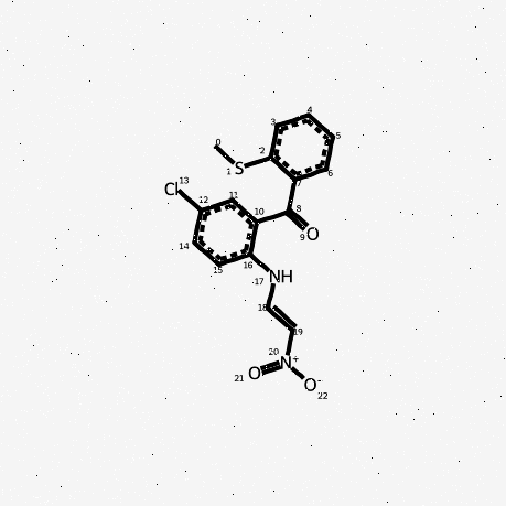 CSc1ccccc1C(=O)c1cc(Cl)ccc1NC=C[N+](=O)[O-]